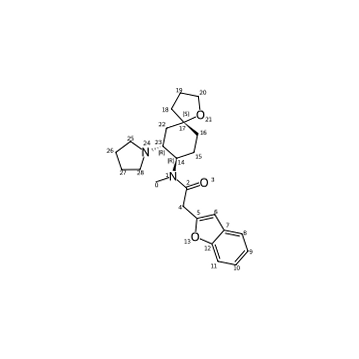 CN(C(=O)Cc1cc2ccccc2o1)[C@@H]1CC[C@]2(CCCO2)C[C@H]1N1CCCC1